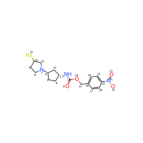 O=C(N[C@@H]1CC[C@@H](N2CC[C@@H](S)C2)C1)OCc1ccc([N+](=O)[O-])cc1